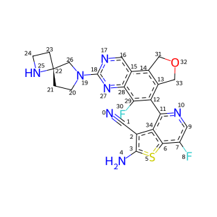 N#Cc1c(N)sc2c(F)cnc(-c3c4c(c5cnc(N6CC[C@@]7(CCN7)C6)nc5c3F)COC4)c12